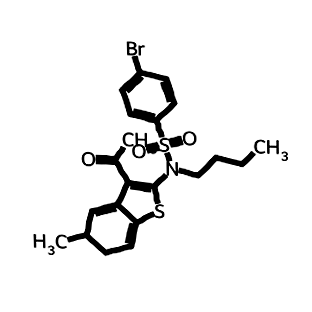 CCCCN(c1sc2c(c1C(C)=O)=CC(C)CC=2)S(=O)(=O)c1ccc(Br)cc1